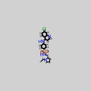 CCN1CCC[C@@H]1CNS(=O)(=O)c1ccc(Nc2ccnc3cc(Cl)ccc23)cc1